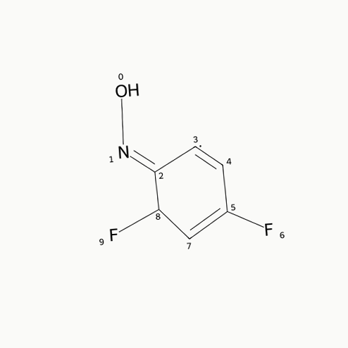 ON=C1[C]=CC(F)=CC1F